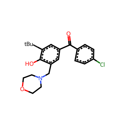 CC(C)(C)c1cc(C(=O)c2ccc(Cl)cc2)cc(CN2CCOCC2)c1O